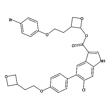 O=C(OC1OCC1CCOc1ccc(Br)cc1)c1c[nH]c2cc(Cl)c(-c3ccc(OCCC4COC4)cc3)cc12